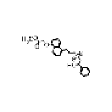 COC(=O)COc1cccc2c(CCCS(=O)(=O)CC(O)c3ccccc3)cccc12